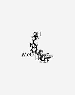 COc1cc2nc(CCC(C)(C)O)cn2cc1NC(=O)c1cccc(C(C)(F)F)n1